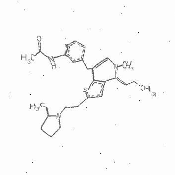 CC/C=C1/c2cc(CCN3CCCC3C)sc2C(c2cccc(NC(C)=O)c2)=CN1C